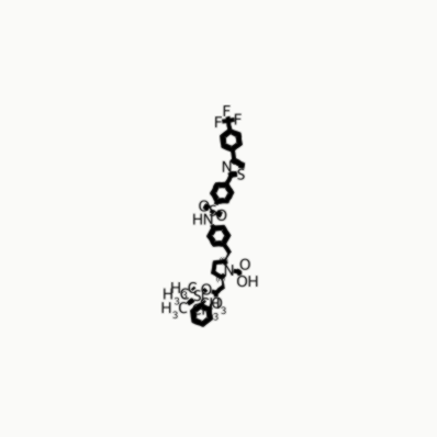 CC(C)(C)[Si](C)(C)OC(C[C@H]1CC[C@@H](Cc2ccc(NS(=O)(=O)c3ccc(-c4nc(-c5ccc(C(F)(F)F)cc5)cs4)cc3)cc2)N1C(=O)O)Oc1ccccc1